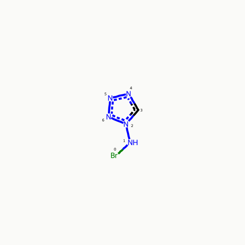 BrNn1cnnn1